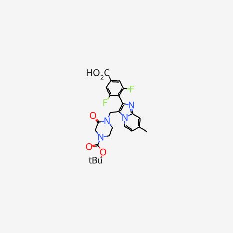 Cc1ccn2c(CN3CCN(C(=O)OC(C)(C)C)CC3=O)c(-c3c(F)cc(C(=O)O)cc3F)nc2c1